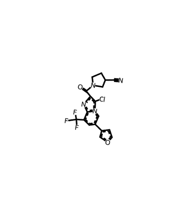 N#CC1CCN(C(=O)c2nc3c(C(F)(F)F)cc(-c4ccoc4)cn3c2Cl)C1